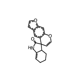 O=C1NC2=CCCCC2C12C=COc1cc3occc3cc12